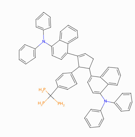 PC(P)(P)c1ccc(C2C(c3ccc(N(c4ccccc4)c4ccccc4)c4ccccc34)=CCC2c2ccc(N(c3ccccc3)c3ccccc3)c3ccccc23)cc1